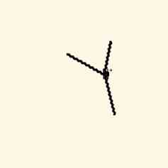 CCCCCCCCCCCCCCCCCCCc1n(CCCCCCCCCCCCCCCCCCC)cc[n+]1CCCCCCCCCCCCCCC